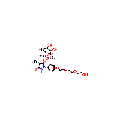 CC(C)(C)OC(C)(C)C.CC(O)CO.CCCCC1C(=O)NN(c2ccccc2)C1=O.CCOCC.OCCOCCOCCO